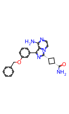 Nc1nccn2c1c(-c1cccc(OCc3ccccc3)c1)nc2[C@H]1C[C@@H](C(N)=O)C1